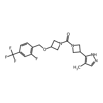 Cc1cn[nH]c1C1CN(C(=O)N2CC(OCc3ccc(C(F)(F)F)cc3F)C2)C1